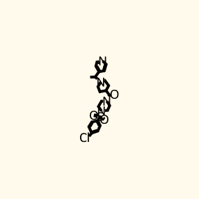 CC(c1ccncc1)N1CCC(C(=O)N2CCN(S(=O)(=O)c3ccc(Cl)cc3)CC2)CC1